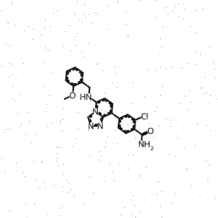 COc1ccccc1CNc1ccc(-c2ccc(C(N)=O)c(Cl)c2)c2nncn12